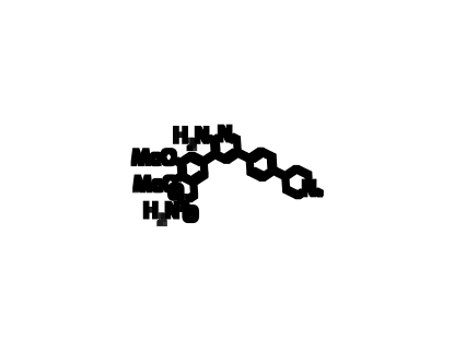 COc1cc(-c2cc(-c3ccc(C4CCN(C)CC4)cc3)cnc2N)cc(CS(N)(=O)=O)c1OC